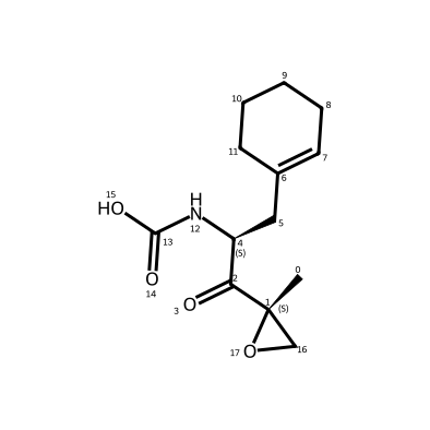 C[C@@]1(C(=O)[C@H](CC2=CCCCC2)NC(=O)O)CO1